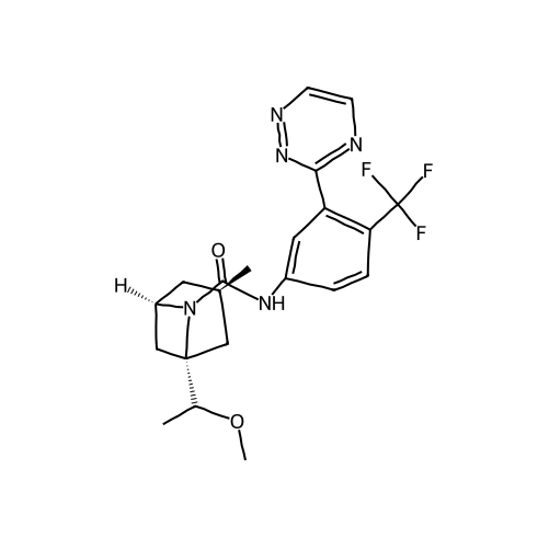 COC(C)[C@]12C[C@H](C)C[C@H](C1)N2C(=O)Nc1ccc(C(F)(F)F)c(-c2nccnn2)c1